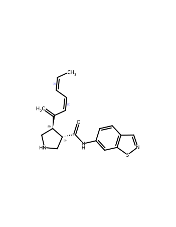 C=C(/C=C\C=C/C)[C@@H]1CNC[C@H]1C(=O)Nc1ccc2cnsc2c1